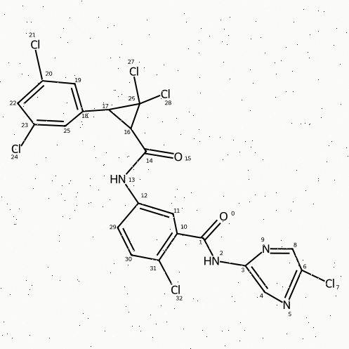 O=C(Nc1cnc(Cl)cn1)c1cc(NC(=O)C2C(c3cc(Cl)cc(Cl)c3)C2(Cl)Cl)ccc1Cl